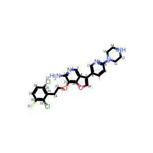 Nc1ncc2c(-c3ccc(N4CCNCC4)nc3)coc2c1OCCc1c(Cl)ccc(F)c1Cl